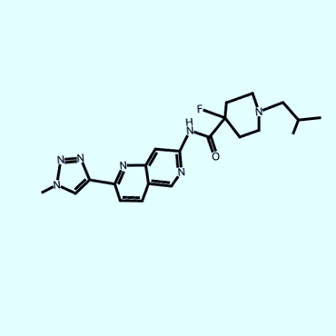 CC(C)CN1CCC(F)(C(=O)Nc2cc3nc(-c4cn(C)nn4)ccc3cn2)CC1